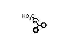 O=C(O)C1CN2CCC1CC2C(c1ccccc1)c1ccccc1